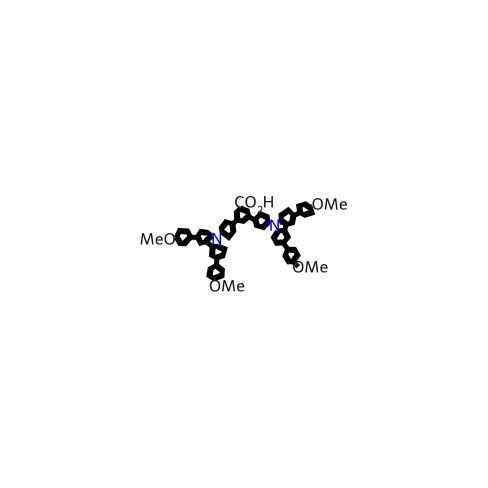 COc1ccc(-c2ccc3c(c2)c2cc(-c4ccc(OC)cc4)ccc2n3-c2ccc(-c3cc(C(=O)O)cc(-c4ccc(-n5c6ccc(-c7ccc(OC)cc7)cc6c6cc(-c7ccc(OC)cc7)ccc65)cc4)c3)cc2)cc1